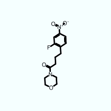 O=C(CCCc1ccc([N+](=O)[O-])cc1F)N1CCOCC1